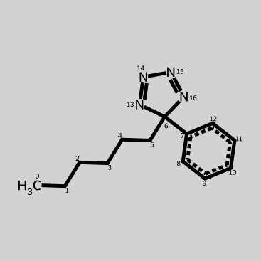 CCCCCCC1(c2ccccc2)N=NN=N1